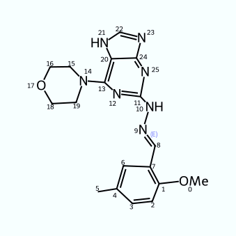 COc1ccc(C)cc1/C=N/Nc1nc(N2CCOCC2)c2[nH]cnc2n1